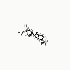 CC1(C)COB(c2cc3cc(C(F)(F)F)ccc3s2)OC1